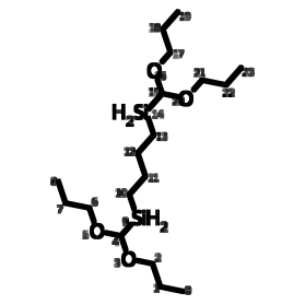 CCCOC(OCCC)[SiH2]CCCC[SiH2]C(OCCC)OCCC